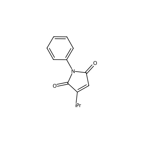 CC(C)C1=CC(=O)N(c2ccccc2)C1=O